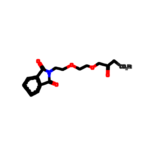 CCOC(=O)CC(=O)COCCOCCN1C(=O)c2ccccc2C1=O